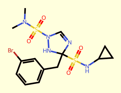 CN(C)S(=O)(=O)N1C=NC(Cc2cccc(Br)c2)(S(=O)(=O)NC2CC2)N1